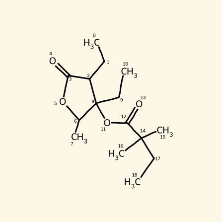 CCC1C(=O)OC(C)C1(CC)OC(=O)C(C)(C)CC